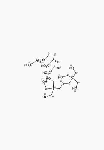 C=CC(=O)O.C=CC(=O)O.C=CC(=O)O.C=CC(=O)O.OCC(CO)(CO)COCC(CO)(CO)CO